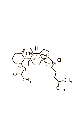 CC(=O)O[C@H]1CCCC2=CC[C@H]3[C@@H]4CC[C@H]([C@H](C)CCCC(C)C)[C@@]4(C)CC[C@@H]3[C@]21C